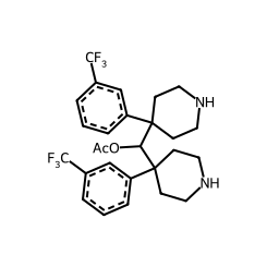 CC(=O)OC(C1(c2cccc(C(F)(F)F)c2)CCNCC1)C1(c2cccc(C(F)(F)F)c2)CCNCC1